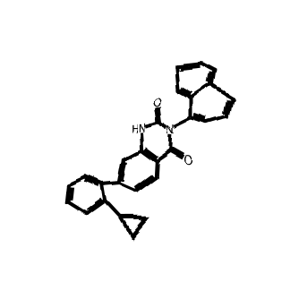 O=c1[nH]c2cc(-c3ccccc3C3CC3)ccc2c(=O)n1-c1cccc2ccccc12